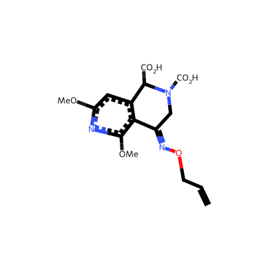 C=CCON=C1CN(C(=O)O)C(C(=O)O)c2cc(OC)nc(OC)c21